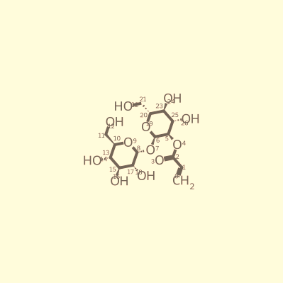 C=CC(=O)O[C@H]1[C@@H](O[C@H]2O[C@H](CO)[C@@H](O)[C@H](O)[C@H]2O)O[C@H](CO)[C@@H](O)[C@@H]1O